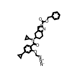 [N-]=[N+]=NCOc1cc(C2CC2)ccc1C(=O)N(C1CC1)C1CCc2nn(C(=O)OCc3ccccc3)cc2C1